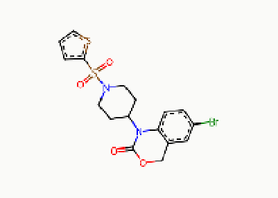 O=C1OCc2cc(Br)ccc2N1C1CCN(S(=O)(=O)c2cccs2)CC1